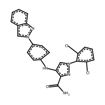 NC(=O)c1nn(-c2c(Cl)cccc2Cl)cc1Nc1ccc(-n2cc3ccccc3n2)cc1